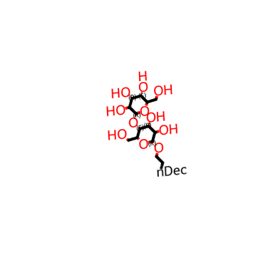 CCCCCCCCCCCCO[C@@H]1OC(CO)[C@@H](O[C@H]2OC(CO)[C@@H](O)[C@@H](O)C2O)[C@@H](O)C1O